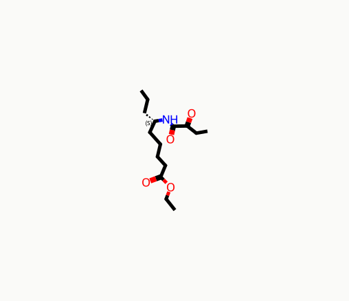 CCC[C@@H](CCCCC(=O)OCC)NC(=O)C(=O)CC